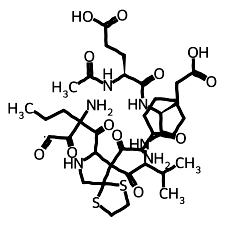 CCCC(N)(C(=O)[C]=O)C(=O)C1NCC2(SCCS2)C1(C(=O)C(N)C1CCCCC1)C(=O)[C@@H](NC(=O)[C@H](CCC(=O)O)NC(=O)[C@H](CCC(=O)O)NC(C)=O)C(C)C